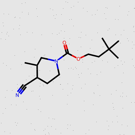 CC1CN(C(=O)OCCC(C)(C)C)CCC1C#N